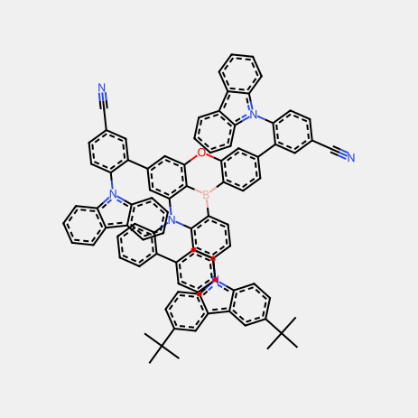 CC(C)(C)c1ccc2c(c1)c1cc(C(C)(C)C)ccc1n2-c1ccc2c(c1)N(c1ccccc1-c1ccccc1)c1cc(-c3cc(C#N)ccc3-n3c4ccccc4c4ccccc43)cc3c1B2c1ccc(-c2cc(C#N)ccc2-n2c4ccccc4c4ccccc42)cc1O3